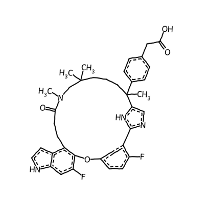 CN1CC(C)(C)CCCC(C)(c2ccc(CC(=O)O)cc2)c2cnc([nH]2)-c2cc(ccc2F)Oc2c(F)cc3[nH]ccc3c2CCC1=O